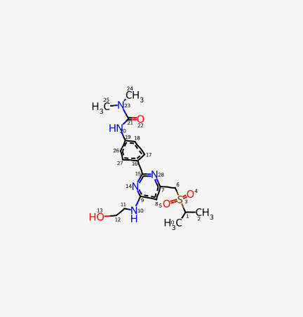 CC(C)S(=O)(=O)Cc1cc(NCCO)nc(-c2ccc(NC(=O)N(C)C)cc2)n1